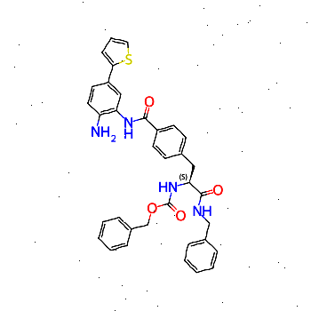 Nc1ccc(-c2cccs2)cc1NC(=O)c1ccc(C[C@H](NC(=O)OCc2ccccc2)C(=O)NCc2ccccc2)cc1